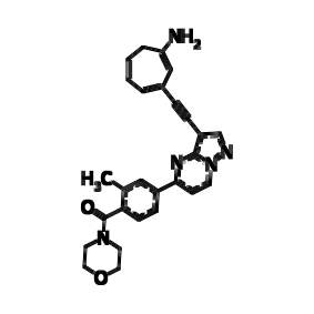 Cc1cc(-c2ccn3ncc(C#CC4=CC=CCC(N)=C4)c3n2)ccc1C(=O)N1CCOCC1